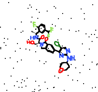 C[C@@H](NC(=O)[C@@H](CO)N1Cc2ccc(-c3nc(NC4CCOCC4)ncc3Cl)cc2C1=O)c1cc(C(F)F)ccc1F